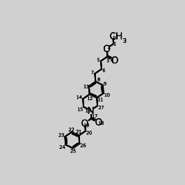 CCOC(=O)CCCc1ccc2c(c1)CCN(C(=O)OCc1ccccc1)C2